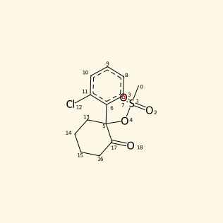 CS(=O)(=O)OC1(c2ccccc2Cl)CCCCC1=O